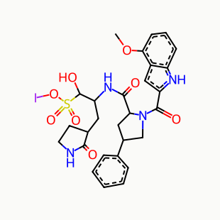 COc1cccc2[nH]c(C(=O)N3CC(c4ccccc4)CC3C(=O)NC(CC3CCNC3=O)C(O)S(=O)(=O)OI)cc12